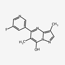 Cc1c(-c2cncc(F)c2)nc2c(C)cnn2c1O